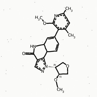 COc1nc(C)cc(C)c1C1=CC2NC(=O)c3cnn([C@@H]4COC[C@H]4OC)c3C2C=C1